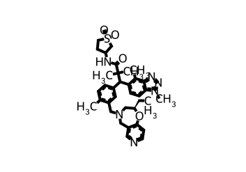 CC[C@@H]1CN(Cc2cc(C(c3ccc4c(nnn4C)c3C)C(C)(C)C(=O)NC3CCS(=O)(=O)C3)ccc2C)Cc2cnccc2O1